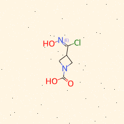 O=C(O)N1CC(/C(Cl)=N\O)C1